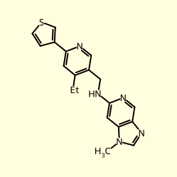 CCc1cc(-c2ccsc2)ncc1CNc1cc2c(cn1)ncn2C